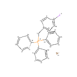 Ic1ccc(C[P+](c2ccccc2)(c2ccccc2)c2ccccc2)cc1.[Br-]